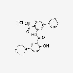 Cl.O=C(Nc1cc(-c2ccccc2)ccc1C(=O)O)c1cc(N2CCOCC2)ccc1O